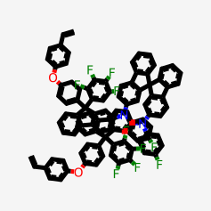 C=Cc1ccc(OC2=CC=C(C3(c4cc(F)c(F)c(F)c4F)c4ccccc4-c4ccc(N(c5ccc(F)cc5)c5ccc6c(c5)C5(c7ccccc7-6)c6ccccc6-c6ccc(N(c7ccc(F)cc7)c7ccc8c(c7)C(c7ccc(Oc9ccc(C=C)cc9)cc7)(c7cc(F)c(F)c(F)c7F)c7ccccc7-8)cc65)cc43)CC2)cc1